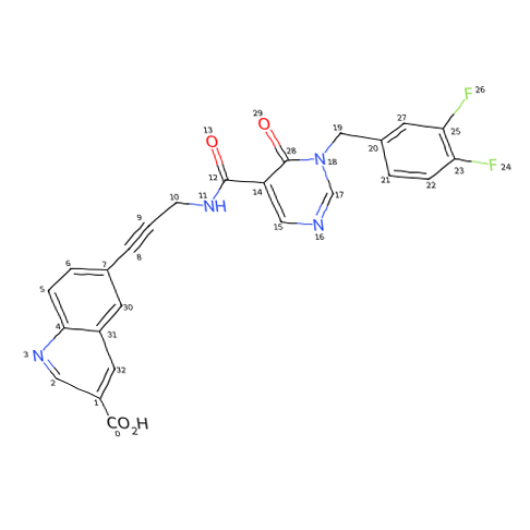 O=C(O)c1cnc2ccc(C#CCNC(=O)c3cncn(Cc4ccc(F)c(F)c4)c3=O)cc2c1